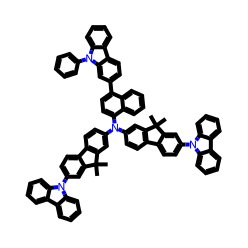 CC1(C)c2cc(N(c3ccc4c(c3)C(C)(C)c3cc(-n5c6ccccc6c6ccccc65)ccc3-4)c3ccc(-c4ccc5c6ccccc6n(-c6ccccc6)c5c4)c4ccccc34)ccc2-c2ccc(-n3c4ccccc4c4ccccc43)cc21